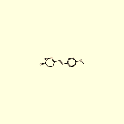 CSc1ccc(C=CC2=NNC(=O)CC2)cc1